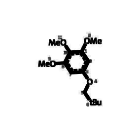 COc1cc(OCC(C)(C)C)cc(OC)c1OC